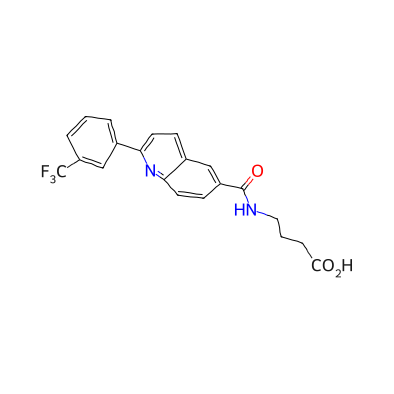 O=C(O)CCCNC(=O)c1ccc2nc(-c3cccc(C(F)(F)F)c3)ccc2c1